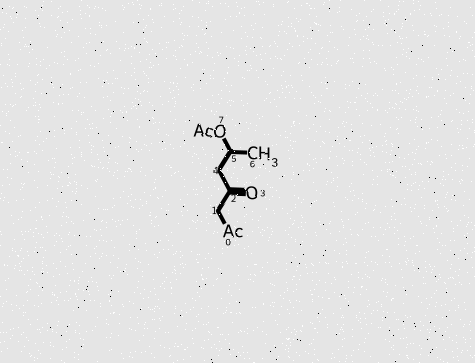 CC(=O)CC(=O)CC(C)OC(C)=O